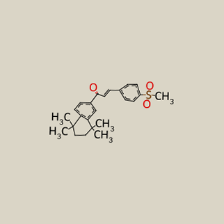 CC1(C)CCC(C)(C)c2cc(C(=O)C=Cc3ccc(S(C)(=O)=O)cc3)ccc21